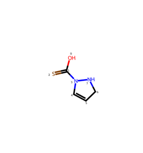 OC(=S)N1C=CCN1